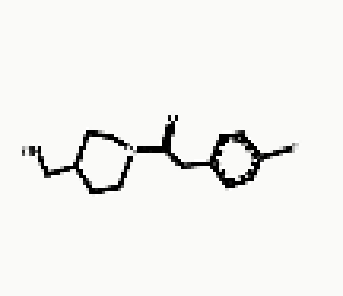 O=NCC1CCN(C(=O)Cc2ccc(F)cc2)CC1